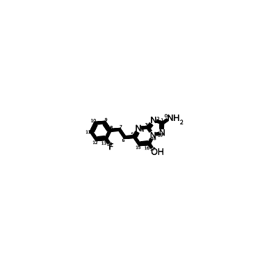 Nc1nc2nc(CCc3ccccc3F)cc(O)n2n1